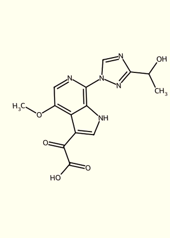 COc1cnc(-n2cnc(C(C)O)n2)c2[nH]cc(C(=O)C(=O)O)c12